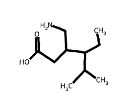 CCC(C(C)C)C(CN)CC(=O)O